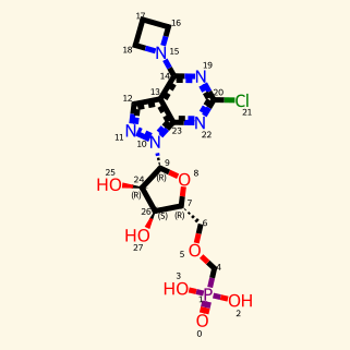 O=P(O)(O)COC[C@H]1O[C@@H](n2ncc3c(N4CCC4)nc(Cl)nc32)[C@H](O)[C@@H]1O